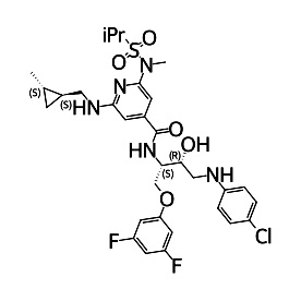 CC(C)S(=O)(=O)N(C)c1cc(C(=O)N[C@@H](COc2cc(F)cc(F)c2)[C@H](O)CNc2ccc(Cl)cc2)cc(NC[C@H]2C[C@@H]2C)n1